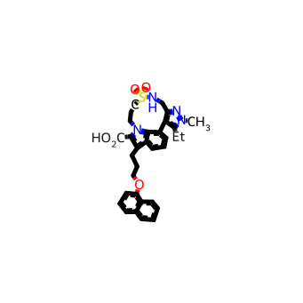 CCc1c2c(nn1C)CNS(=O)(=O)CCCn1c(C(=O)O)c(CCCOc3cccc4ccccc34)c3cccc-2c31